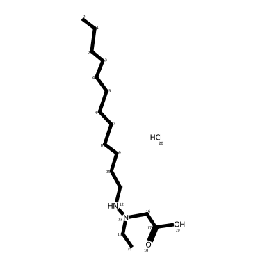 CCCCCCCCCCCCNN(CC)CC(=O)O.Cl